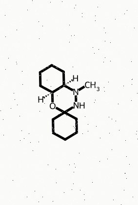 CN1NC2(CCCCC2)O[C@H]2CCCC[C@H]21